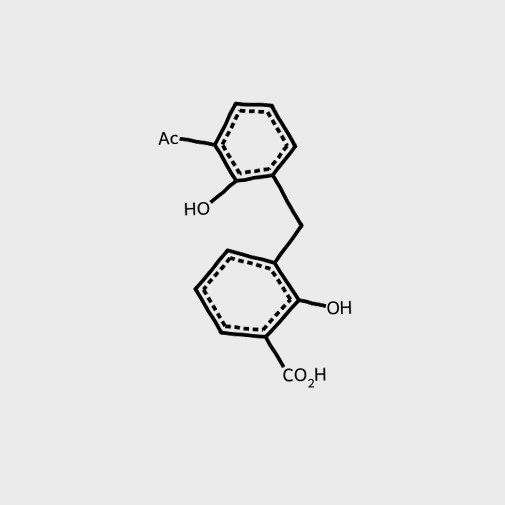 CC(=O)c1cccc(Cc2cccc(C(=O)O)c2O)c1O